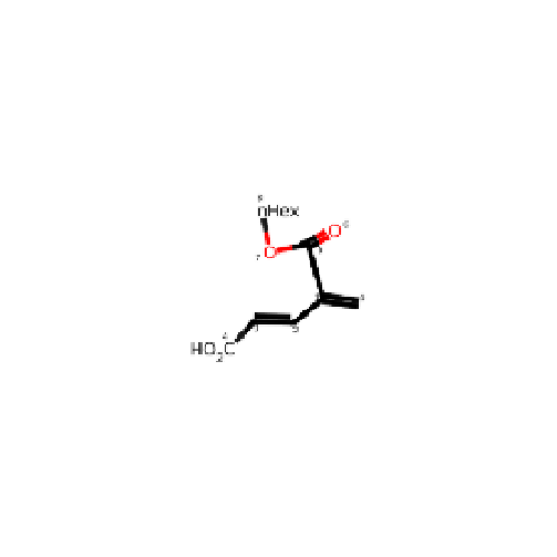 C=C(C=CC(=O)O)C(=O)OCCCCCC